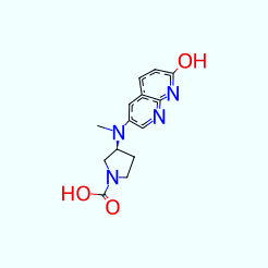 CN(c1cnc2nc(O)ccc2c1)[C@H]1CCN(C(=O)O)C1